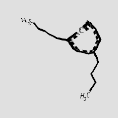 CCCCc1cccc(CCCC)c1